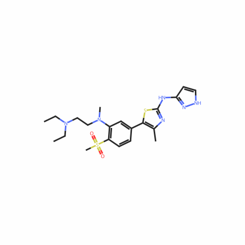 CCN(CC)CCN(C)c1cc(-c2sc(Nc3cc[nH]n3)nc2C)ccc1S(C)(=O)=O